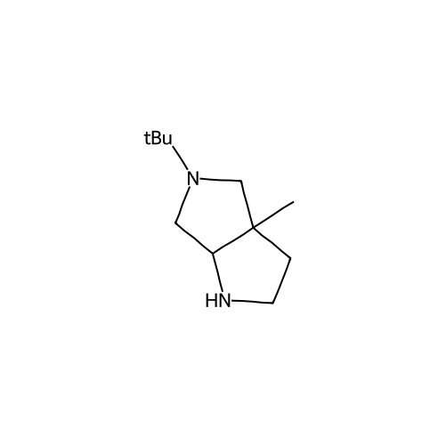 CC12CCNC1CN(C(C)(C)C)C2